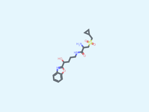 NC(CS(=O)(=O)CC1CC1)C(=O)NCCCC(O)c1nc2ccccc2o1